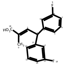 CC(=CC(c1cccc(F)c1)c1cccc(F)c1)C(=O)O